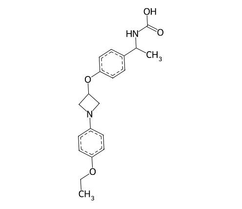 CCOc1ccc(N2CC(Oc3ccc(C(C)NC(=O)O)cc3)C2)cc1